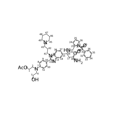 CC(=O)OCCN(CCO)c1ccc(-c2nc3cc(C(CC(N)=O)NCc4cccn4S(=O)(=O)c4ccccc4)ccc3n2CCCN2CCCCC2)cc1